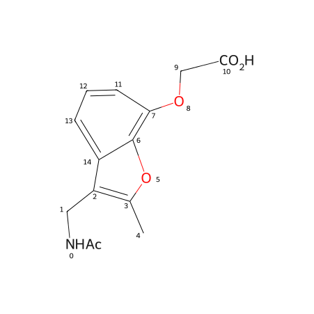 CC(=O)NCc1c(C)oc2c(OCC(=O)O)cccc12